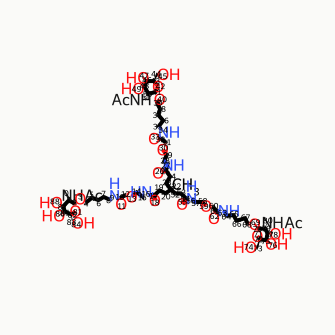 CC(=O)N[C@H]1[C@H](OCCCCCNC(=O)COCCNC(=O)CCC(C)(CCC(=O)NCCOCC(=O)NCCCCCO[C@@H]2O[C@H](CO)[C@H](O)[C@H](O)[C@H]2NC(C)=O)CCC(=O)NCCOCC(=O)NCCCCCO[C@@H]2O[C@H](CO)[C@H](O)[C@H](O)[C@H]2NC(C)=O)O[C@H](CO)[C@H](O)[C@@H]1O